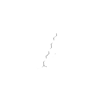 CCCCC(CC)COCCOCCOCCO.O=S(=O)(O)O